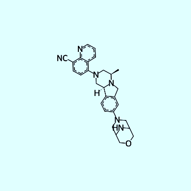 C[C@@H]1CN(c2ccc(C#N)c3ncccc23)C[C@@H]2c3ccc(N4CC5COCC(C4)N5)cc3CN12